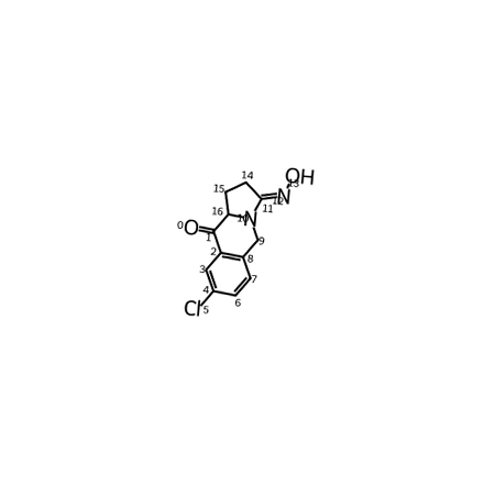 O=C1c2cc(Cl)ccc2CN2C(=NO)CCC12